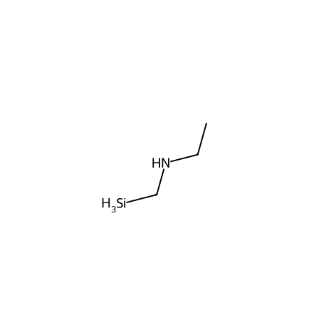 CCNC[SiH3]